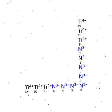 [N-3].[N-3].[N-3].[N-3].[N-3].[N-3].[N-3].[N-3].[Ti+4].[Ti+4].[Ti+4].[Ti+4].[Ti+4].[Ti+4]